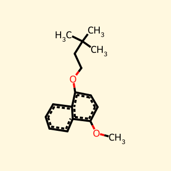 COc1ccc(OCCC(C)(C)C)c2ccccc12